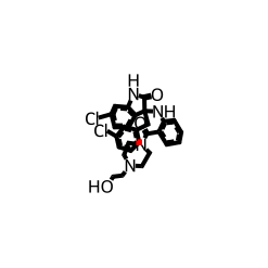 O=C(c1ccccc1NC1(Cc2cccc(Cl)c2)C(=O)Nc2cc(Cl)ccc21)N1CCN(CCO)CC1